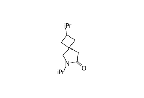 CC(C)C1CC2(CC(=O)N(C(C)C)C2)C1